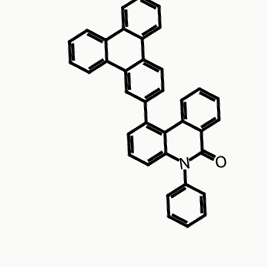 O=c1c2ccccc2c2c(-c3ccc4c5ccccc5c5ccccc5c4c3)cccc2n1-c1ccccc1